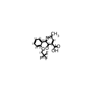 Cn1cc(C(=O)O)c(=O)c(-c2ccccc2OCC(F)(F)F)n1